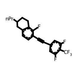 CCCC1CCc2c(ccc(C#Cc3cc(F)c(C(F)(F)F)c(F)c3)c2F)C1